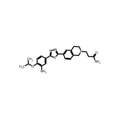 CC(C)Oc1ccc(-c2nnc(-c3ccc4c(c3)CCN(CCC(N)=O)C4)s2)cc1N